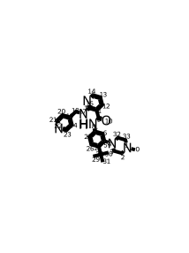 CN1CCN(c2cc(NC(=O)c3cccnc3NCc3ccncc3)ccc2C(C)(C)C)CC1